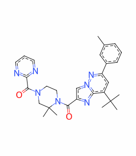 Cc1cccc(-c2cc(C(C)(C)C)c3nc(C(=O)N4CCN(C(=O)c5ncccn5)CC4(C)C)cn3n2)c1